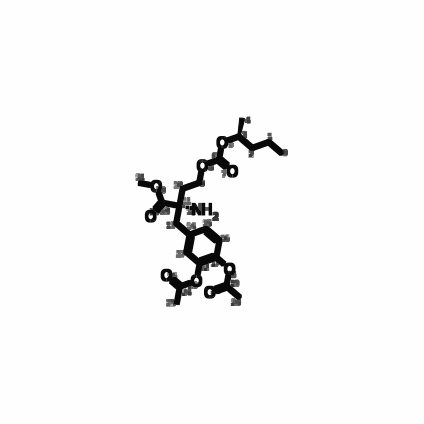 CCC[C@H](C)OC(=O)OCC[C@@](N)(Cc1ccc(OC(C)=O)c(OC(C)=O)c1)C(=O)OC